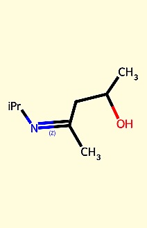 C/C(CC(C)O)=N/C(C)C